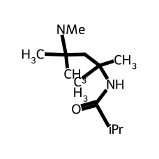 CNC(C)(C)CC(C)(C)NC(=O)C(C)C